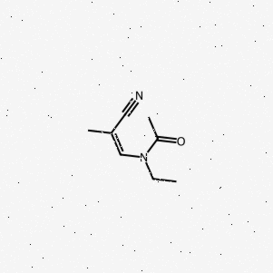 CCN(C=C(C)C#N)C(C)=O